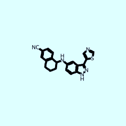 N#Cc1ccc2c(c1)CCCC2Nc1ccc2[nH]nc(-c3cncs3)c2c1